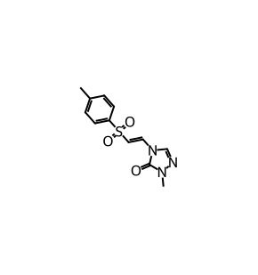 Cc1ccc(S(=O)(=O)/C=C/n2cnn(C)c2=O)cc1